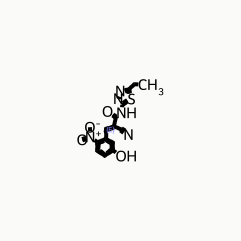 CCc1nnc(NC(=O)/C(C#N)=C/c2cc(O)ccc2[N+](=O)[O-])s1